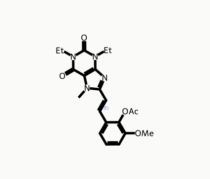 CCn1c(=O)c2c(nc(/C=C/c3cccc(OC)c3OC(C)=O)n2C)n(CC)c1=O